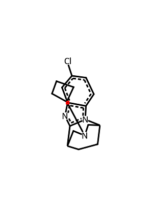 Clc1ccc2c(c1)nc1n2C2CCC1CN(C1CCC1)C2